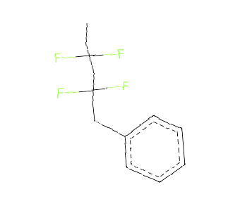 CC(F)(F)C(F)(F)Cc1ccccc1